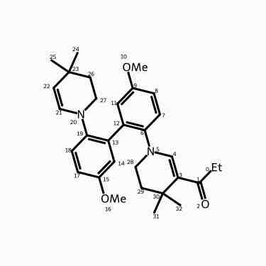 CCC(=O)C1=CN(c2ccc(OC)cc2-c2cc(OC)ccc2N2C=CC(C)(C)CC2)CCC1(C)C